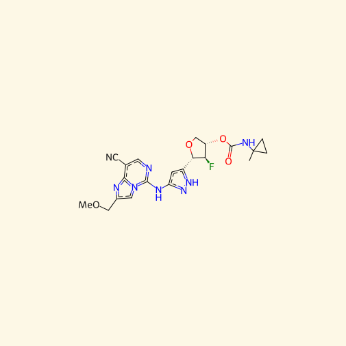 COCc1cn2c(Nc3cc([C@@H]4OC[C@H](OC(=O)NC5(C)CC5)[C@H]4F)[nH]n3)ncc(C#N)c2n1